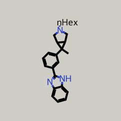 CCCCCCN1CC2C(C1)C2(C)c1cccc(-c2nc3ccccc3[nH]2)c1